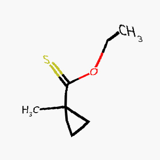 CCOC(=S)C1(C)CC1